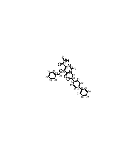 CNC(=O)c1nc(C)n(CC(=O)c2ccc(-c3ccccc3)cc2)c(=O)c1OCc1ccccc1